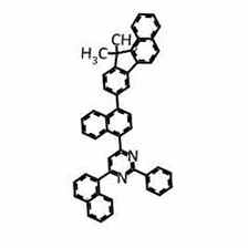 CC1(C)c2ccc(-c3ccc(-c4cc(-c5cccc6ccccc56)nc(-c5ccccc5)n4)c4ccccc34)cc2-c2ccc3ccccc3c21